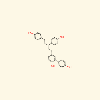 Oc1ccc(CCC(CCc2ccc(O)c(-c3ccc(O)cc3)c2)c2ccc(O)cc2)cc1